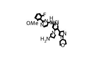 COc1cccc(F)c1-c1nccc(Nc2cc(N3CC[C@H](N)C3)c(-c3cnn(C4CCOCC4)c3)cn2)n1.Cl